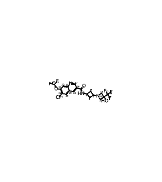 O=C(NC1CC(N2CC(O)(C(F)(F)F)C2)C1)c1cnc2cc(OC(F)F)c(Cl)cc2c1